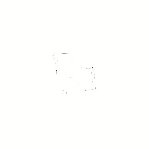 C1=NC2=CC=NC2=C1.[Pt]